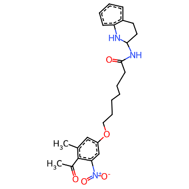 CC(=O)c1c(C)cc(OCCCCCCC(=O)NC2CCc3ccccc3N2)cc1[N+](=O)[O-]